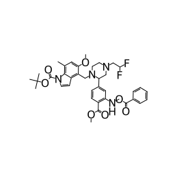 COC(=O)c1ccc(C2CN(CC(F)F)CCN2Cc2c(OC)cc(C)c3c2ccn3C(=O)OC(C)(C)C)cc1NOC(=O)c1ccccc1